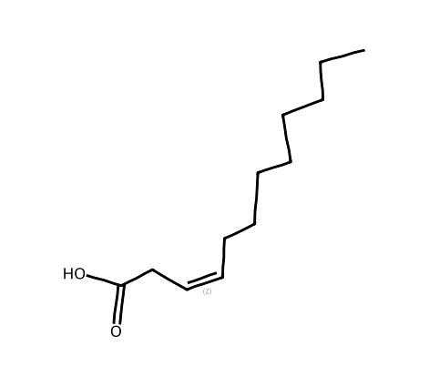 CCCCCCCC/C=C\CC(=O)O